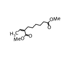 CC=C(CCCCCC(=O)OC)C(=O)OC